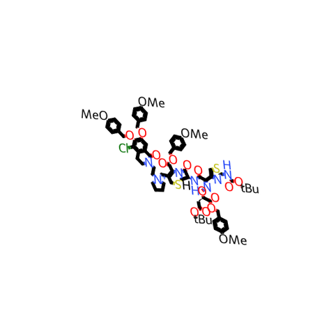 COc1ccc(COC(=O)C2=C(C[N+]3(CCN4CCc5c(cc(OCc6ccc(OC)cc6)c(OCc6ccc(OC)cc6)c5Cl)C4=O)CCCC3)CS[C@@H]3[C@H](NC(=O)C(=NO[C@@H](CC(=O)OC(C)(C)C)C(=O)OCc4ccc(OC)cc4)c4csc(NC(=O)OC(C)(C)C)n4)C(=O)N23)cc1